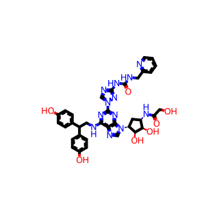 O=C(CO)N[C@H]1C[C@@H](n2cnc3c(NCC(c4ccc(O)cc4)c4ccc(O)cc4)nc(-n4cnc(NC(=O)NCc5ccccn5)n4)nc32)[C@H](O)[C@@H]1O